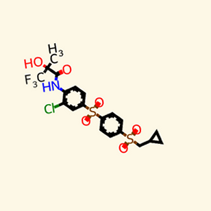 CC(O)(C(=O)Nc1ccc(S(=O)(=O)c2ccc(S(=O)(=O)CC3CC3)cc2)cc1Cl)C(F)(F)F